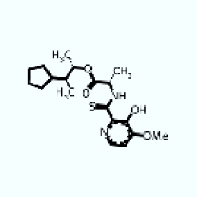 COc1ccnc(C(=S)N[C@@H](C)C(=O)O[C@@H](C)[C@@H](C)C2CCCC2)c1O